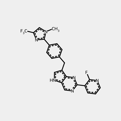 Cn1cc(C(F)(F)F)nc1-c1ccc(Cc2c[nH]c3cnc(-c4cccnc4F)nc23)cc1